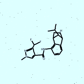 CC(C)[C@H]1C2CCC1c1c(NC(=O)c3cn(C)nc3C(F)F)cccc12